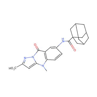 Cn1c2ccc(NC(=O)C34CC5CC(CC(C5)C3)C4)cc2c(=O)n2nc(C(=O)O)cc12